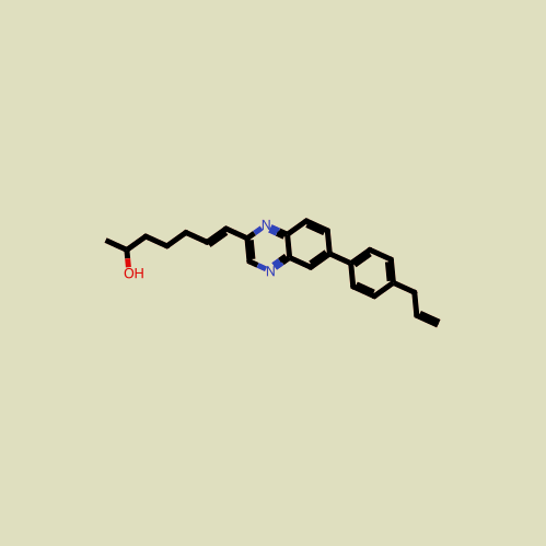 C=CCc1ccc(-c2ccc3nc(/C=C/CCCC(C)O)cnc3c2)cc1